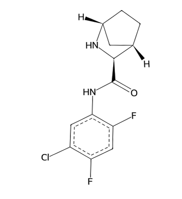 O=C(Nc1cc(Cl)c(F)cc1F)[C@H]1N[C@@H]2CC[C@H]1C2